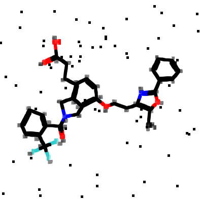 Cc1oc(-c2ccccc2)nc1CCOc1ccc(CCC(=O)O)c2c1CN(C(=O)c1ccccc1C(F)(F)F)C2